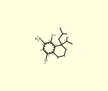 CC(C)CC1(C(C)C)CCCc2c(Cl)cc(N)c(F)c21